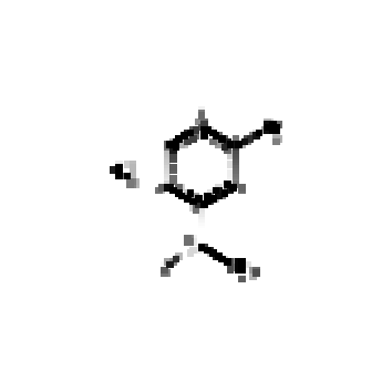 C[C@@H](N)c1ccnc(Br)c1.Cl